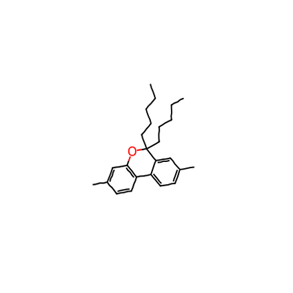 CCCCCC1(CCCCC)Oc2cc(C)ccc2-c2ccc(C)cc21